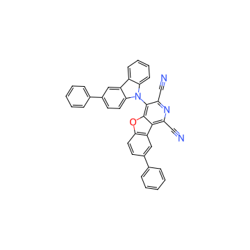 N#Cc1nc(C#N)c2c(oc3ccc(-c4ccccc4)cc32)c1-n1c2ccccc2c2cc(-c3ccccc3)ccc21